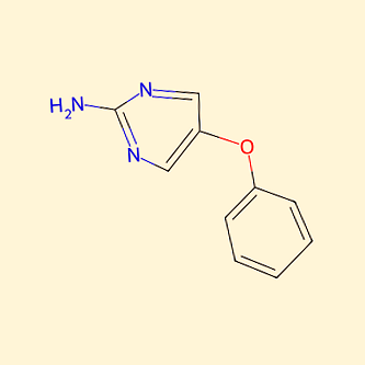 Nc1ncc(Oc2ccccc2)cn1